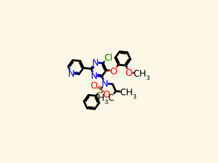 COc1ccccc1Oc1c(Cl)nc(-c2cccnc2)nc1N(CC(C)C)S(=O)(=O)c1ccccc1